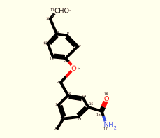 Cc1cc(COc2ccc(C[C]=O)cc2)cc(C(N)=O)c1